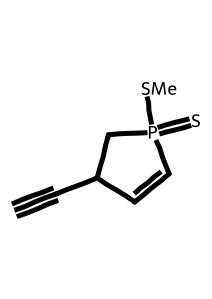 C#CC1C=CP(=S)(SC)C1